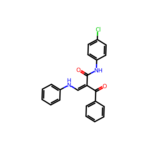 O=C(Nc1ccc(Cl)cc1)/C(=C\Nc1ccccc1)C(=O)c1ccccc1